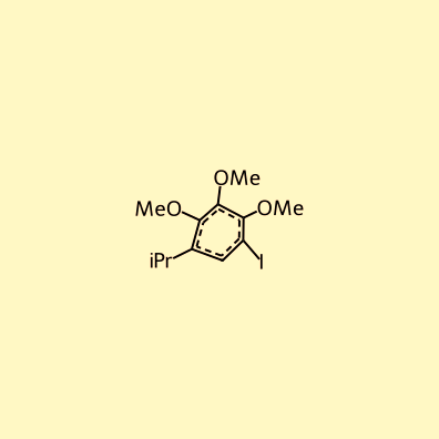 COc1c(I)cc(C(C)C)c(OC)c1OC